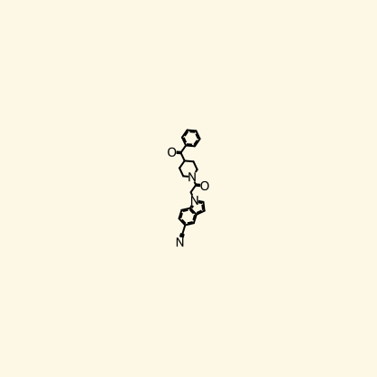 N#Cc1ccc2c(ccn2CC(=O)N2CCC(C(=O)c3ccccc3)CC2)c1